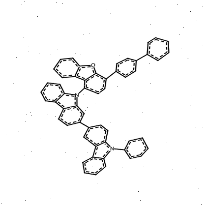 c1ccc(-c2ccc(-c3ccc(-n4c5ccccc5c5ccc(-c6ccc7c(c6)c6ccccc6n7-c6ccccc6)cc54)c4c3oc3ccccc34)cc2)cc1